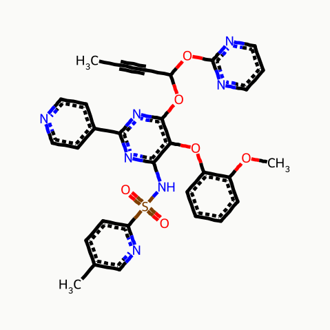 CC#CC(Oc1ncccn1)Oc1nc(-c2ccncc2)nc(NS(=O)(=O)c2ccc(C)cn2)c1Oc1ccccc1OC